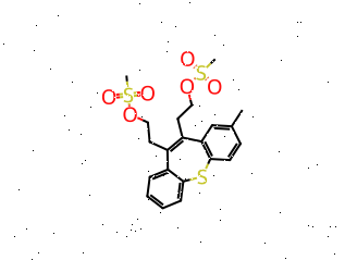 Cc1ccc2c(c1)C(CCOS(C)(=O)=O)=C(CCOS(C)(=O)=O)c1ccccc1S2